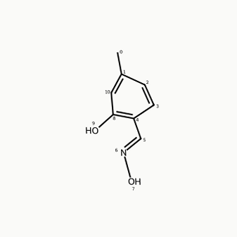 Cc1ccc(C=NO)c(O)c1